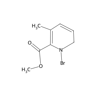 COC(=O)C1=C(C)C=CCN1Br